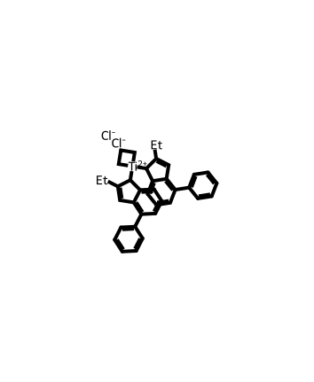 CCC1=Cc2c(-c3ccccc3)cccc2[CH]1[Ti+2]1([CH]2C(CC)=Cc3c(-c4ccccc4)cccc32)[CH2]C[CH2]1.[Cl-].[Cl-]